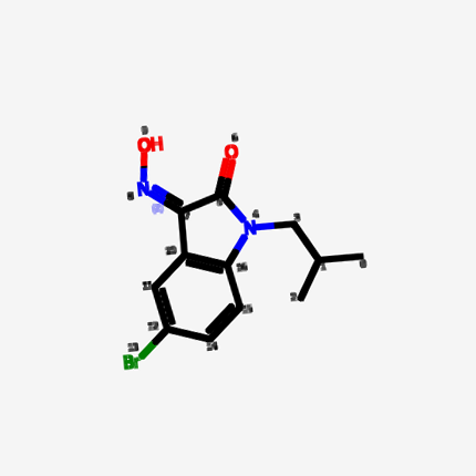 CC(C)CN1C(=O)/C(=N\O)c2cc(Br)ccc21